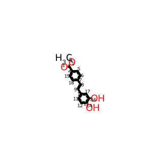 COC(=O)c1ccc(C=Cc2ccc(O)c(O)c2)cc1